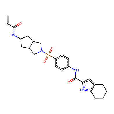 C=CC(=O)NC1CC2CN(S(=O)(=O)c3ccc(NC(=O)c4cc5c([nH]4)CCCC5)cc3)CC2C1